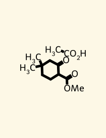 CC(=O)O.COC(=O)C1CCC(C)(C)CC1=O